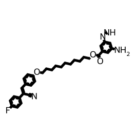 N#C/C(=C\c1ccc(OCCCCCCCCCCCOC(=O)c2cc(N)cc(N=N)c2)cc1)c1ccc(F)cc1